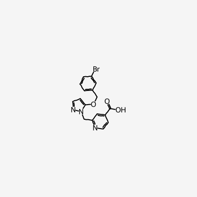 O=C(O)c1ccnc(Cn2nccc2OCc2cccc(Br)c2)c1